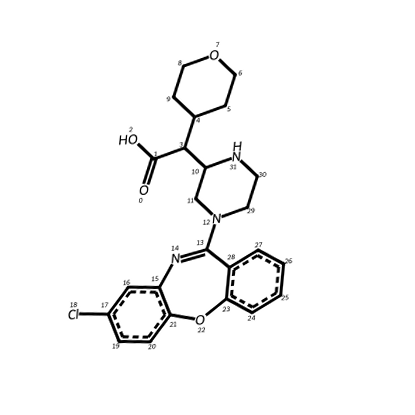 O=C(O)C(C1CCOCC1)C1CN(C2=Nc3cc(Cl)ccc3Oc3ccccc32)CCN1